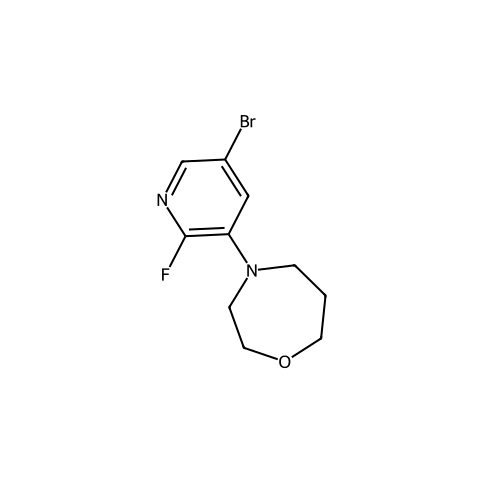 Fc1ncc(Br)cc1N1CCCOCC1